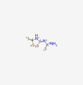 NC(=S)/N=c1/[nH]c(=S)ss1